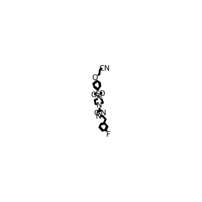 N#CCCOc1ccc(S(=O)(=O)N2CCN(c3nc(Cc4cccc(F)c4)no3)CC2)cc1